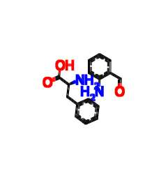 N[C@@H](Cc1ccccc1)C(=O)O.Nc1ccccc1C=O